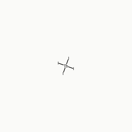 [I][Tb]([I])([I])[I]